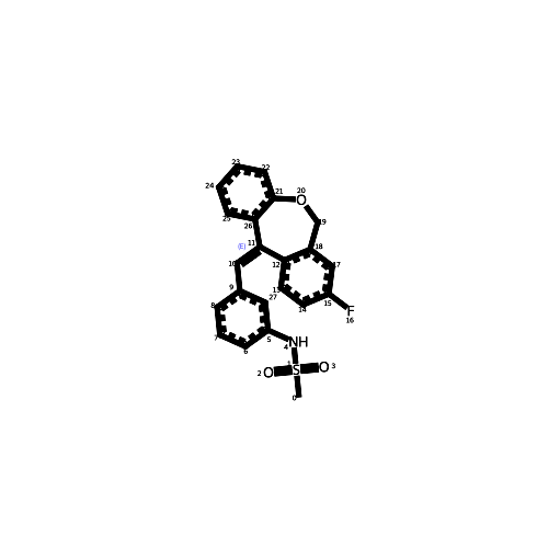 CS(=O)(=O)Nc1cccc(/C=C2\c3ccc(F)cc3COc3ccccc32)c1